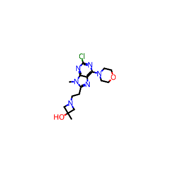 Cn1c(CCN2CC(C)(O)C2)nc2c(N3CCOCC3)nc(Cl)nc21